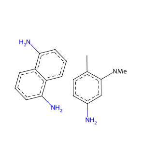 CNc1cc(N)ccc1C.Nc1cccc2c(N)cccc12